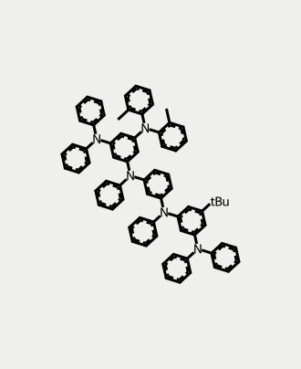 Cc1ccccc1N(c1cc(N(c2ccccc2)c2ccccc2)cc(N(c2ccccc2)c2cccc(N(c3ccccc3)c3cc(N(c4ccccc4)c4ccccc4)cc(C(C)(C)C)c3)c2)c1)c1ccccc1C